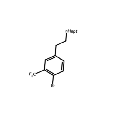 CCCCCCCCCc1ccc(Br)c(C(F)(F)F)c1